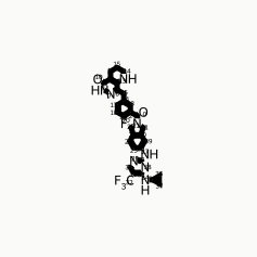 O=C(c1cc(Cc2n[nH]c(=O)c3c2NCCC3)ccc1F)N1Cc2ccc(Nc3ncc(C(F)(F)F)c(NC4CC4)n3)cc2C1